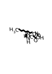 C1=NCCN1.CCC(=O)O.CCCCCCCCON=O